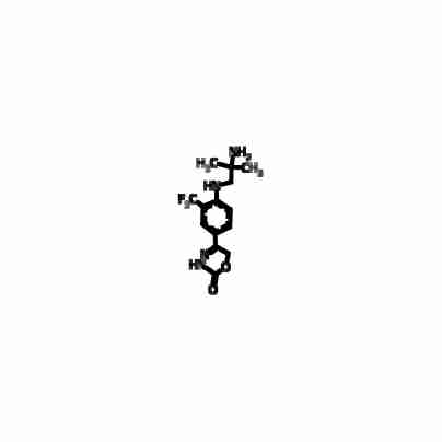 CC(C)(N)CNc1ccc(C2=NNC(=O)OC2)cc1C(F)(F)F